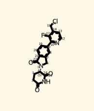 O=C1CC[C@H](N2Cc3cc(-c4nccc(CCl)c4F)ccc3C2=O)C(=O)N1